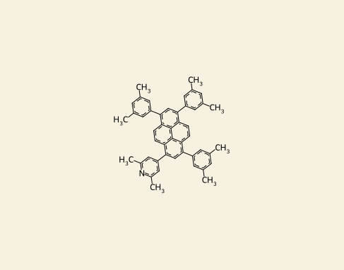 Cc1cc(C)cc(-c2cc(-c3cc(C)cc(C)c3)c3ccc4c(-c5cc(C)nc(C)c5)cc(-c5cc(C)cc(C)c5)c5ccc2c3c54)c1